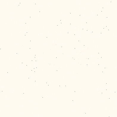 CCSCOC(=O)c1cc(N2C(=O)C3=C(CCCC3)C2=O)c(F)cc1Cl